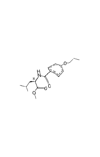 CCCOc1ccc(C(=O)N[C@H](CC(C)C)C(=O)OC)cc1